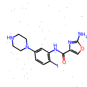 Nc1nc(C(=O)Nc2cc(N3CCNCC3)ccc2I)co1